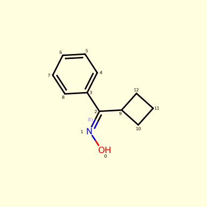 O/N=C(/c1ccccc1)C1CCC1